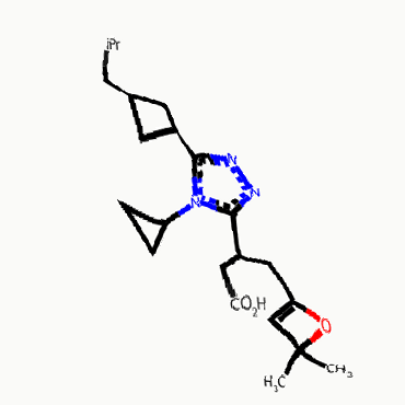 CC(C)C[C@H]1C[C@@H](c2nnc(C(CC(=O)O)CC3=CC(C)(C)O3)n2C2CC2)C1